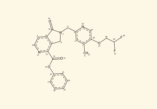 Cc1cc(CN2Cc3c(ccnc3C(=O)Oc3ccccc3)C2=O)ncc1OCC(F)F